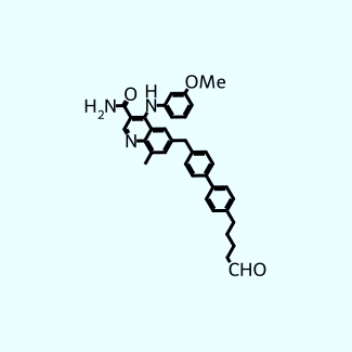 COc1cccc(Nc2c(C(N)=O)cnc3c(C)cc(Cc4ccc(-c5ccc(CCCCC=O)cc5)cc4)cc23)c1